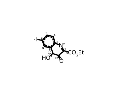 CCOC(=O)C1=Nc2ccc(I)cc2C(O)C1=O